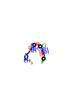 CN1CCN(CCCNC(=O)Nc2cc(Oc3ccc(NC(=O)NC(=O)Cc4ccc(F)cc4)c(Cl)c3)ccn2)CC1